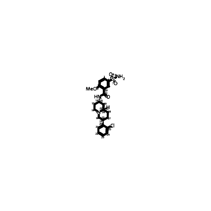 COc1ccc(S(N)(=O)=O)cc1C(=O)N[C@H]1CCN2C[C@H](c3ccccc3Cl)CC[C@H]2C1